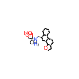 CC(CO)(CO)NCc1cc2c(ccc3ccoc32)c2ccccc12